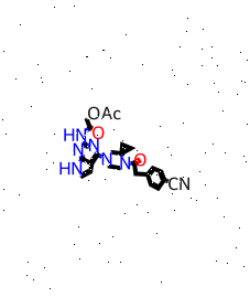 CC(=O)OCC(=O)Nc1nc(N2CCN(C(=O)Cc3ccc(C#N)cc3)C3(CC3)C2)c2cc[nH]c2n1